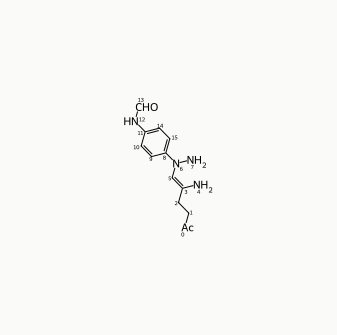 CC(=O)CC/C(N)=C/N(N)c1ccc(NC=O)cc1